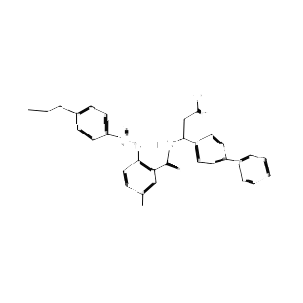 CCCc1ccc(S(=O)(=O)Nc2ccc(I)cc2C(=O)NC(CC(=O)O)c2ccc(-c3ccccc3)cc2)cc1